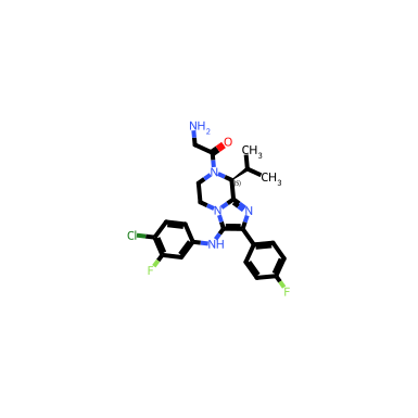 CC(C)[C@H]1c2nc(-c3ccc(F)cc3)c(Nc3ccc(Cl)c(F)c3)n2CCN1C(=O)CN